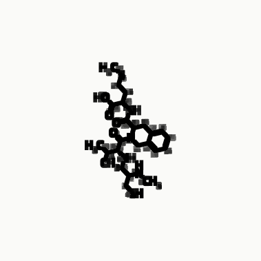 CNC(CS)CN[C@H](C(=O)N1Cc2ccccc2CC1C(=O)NC(CCSC)C(=O)O)C(C)C